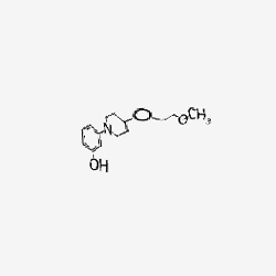 COCCOC1CCN(c2cccc(O)c2)CC1